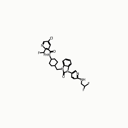 O=C(NC1CCC(Cn2c(=O)n(-c3ccc(NCC(F)F)nc3)c3ccccc32)CC1)c1cc(Cl)cnc1C(F)F